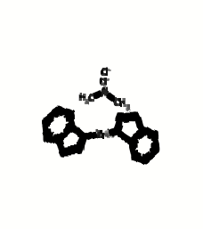 C1=C[CH]([Zr+2][CH]2C=Cc3ccccc32)c2ccccc21.[CH3][Al][CH3].[Cl-].[Cl-]